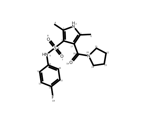 Cc1[nH]c(C)c(S(=O)(=O)Nc2ccc(F)cc2)c1C(=O)N1CCCC1